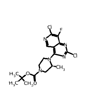 C[C@H]1CN(C(=O)OC(C)(C)C)CCN1c1nc(Cl)nc2c(F)c(Cl)ncc12